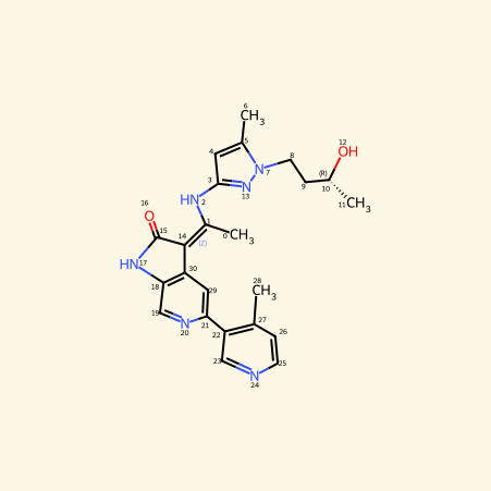 C/C(Nc1cc(C)n(CC[C@@H](C)O)n1)=C1/C(=O)Nc2cnc(-c3cnccc3C)cc21